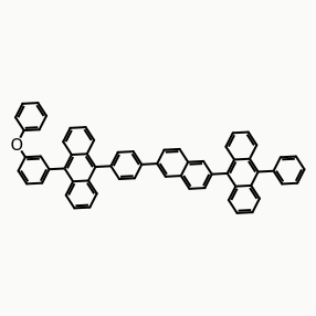 c1ccc(Oc2cccc(-c3c4ccccc4c(-c4ccc(-c5ccc6cc(-c7c8ccccc8c(-c8ccccc8)c8ccccc78)ccc6c5)cc4)c4ccccc34)c2)cc1